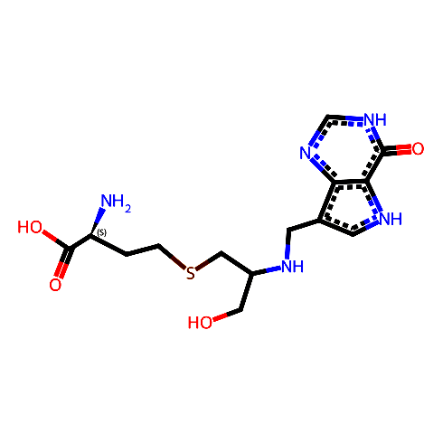 N[C@@H](CCSCC(CO)NCc1c[nH]c2c(=O)[nH]cnc12)C(=O)O